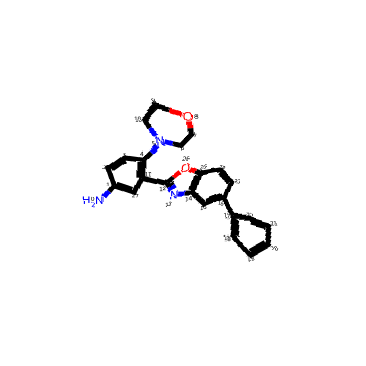 Nc1ccc(N2CCOCC2)c(-c2nc3cc(-c4ccccc4)ccc3o2)c1